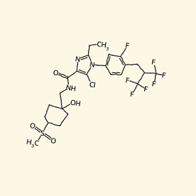 CCc1nc(C(=O)NCC2(O)CCC(S(C)(=O)=O)CC2)c(Cl)n1-c1ccc(CC(C(F)(F)F)C(F)(F)F)c(F)c1